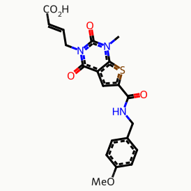 COc1ccc(CNC(=O)c2cc3c(=O)n(CC=CC(=O)O)c(=O)n(C)c3s2)cc1